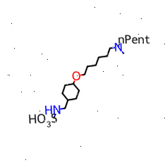 CCCCCN(C)CCCCCCOC1CCC(CNS(=O)(=O)O)CC1